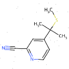 CSC(C)(C)c1ccnc(C#N)c1